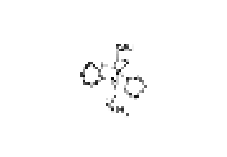 CC(C)(C)C1CC(c2ccccc2)(N(CO[SiH3])c2ccccc2)C1F